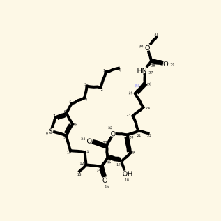 CCCCCCc1csc(CCC(C)C(=O)c2c(O)cc(C(C)CC/C=C/NC(=O)OC)oc2=O)c1